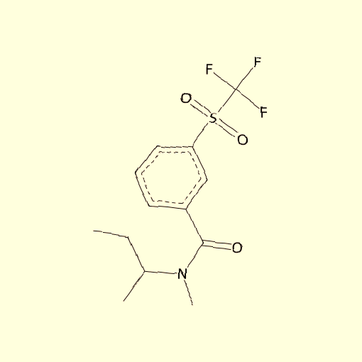 CCC(C)N(C)C(=O)c1cccc(S(=O)(=O)C(F)(F)F)c1